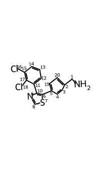 NCc1ccc(-c2s[c]nc2-c2cccc(Cl)c2Cl)cc1